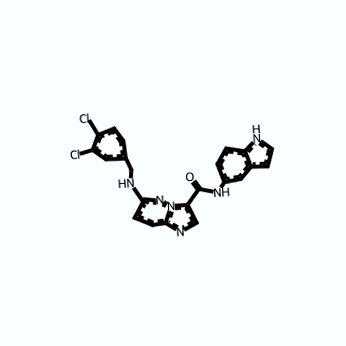 O=C(Nc1ccc2[nH]ccc2c1)c1cnc2ccc(NCc3ccc(Cl)c(Cl)c3)nn12